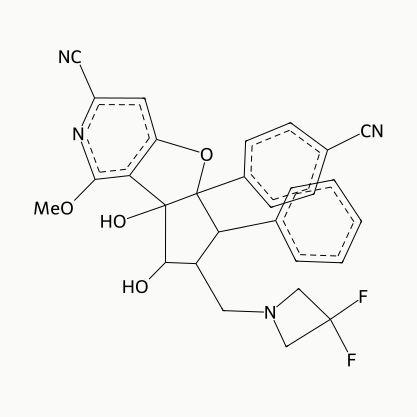 COc1nc(C#N)cc2c1C1(O)C(O)C(CN3CC(F)(F)C3)C(c3ccccc3)C1(c1ccc(C#N)cc1)O2